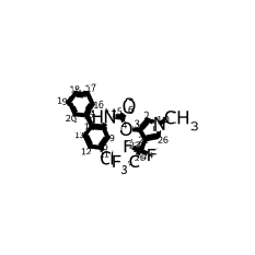 Cn1cc(OC(=O)Nc2cc(Cl)ccc2-c2ccccc2)c(C(F)(F)C(F)(F)F)c1